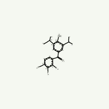 CC(C)c1cc(C(=O)c2ccc(F)c(F)c2F)cc(C(C)C)c1O